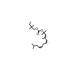 CCC(C)(C)COC(=O)OC(C)(C)/C=C(C)/C=C\C/C=C\CC(C)C